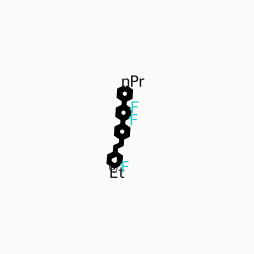 CCCc1ccc(-c2ccc(-c3ccc(CCC4=CC[C@H](CC)C(F)=C4)cc3)c(F)c2F)cc1